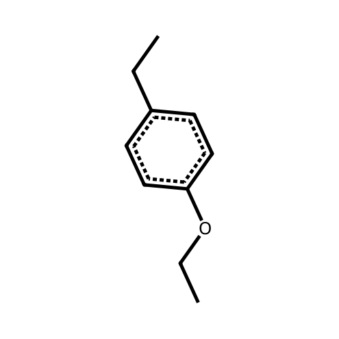 CCOc1ccc(CC)cc1